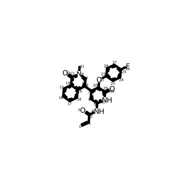 C=CC(=O)Nc1cc(-c2cn(C)c(=O)c3ccccc23)c(Oc2ccc(F)cc2)c(=O)[nH]1